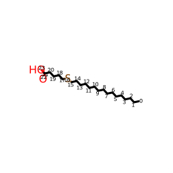 CCCCCCCCCCCCCCCCSCCCCC(=O)O